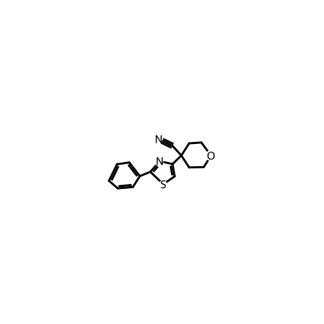 N#CC1(c2csc(-c3ccccc3)n2)CCOCC1